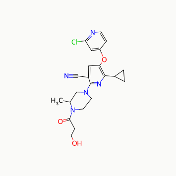 CC1CN(c2nc(C3CC3)c(Oc3ccnc(Cl)c3)cc2C#N)CCN1C(=O)CCO